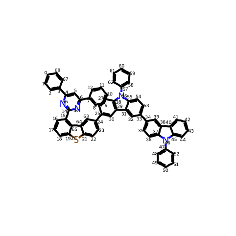 c1ccc(-c2cc(-c3ccccc3)nc(-c3cccc4sc5ccc(-c6ccc7c(c6)c6cc(-c8ccc9c(c8)c8ccccc8n9-c8ccccc8)ccc6n7-c6ccccc6)cc5c34)n2)cc1